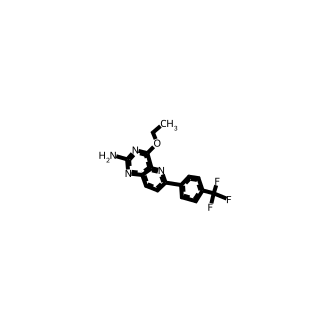 CCOc1nc(N)nc2ccc(-c3ccc(C(F)(F)F)cc3)nc12